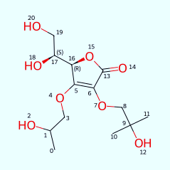 CC(O)COC1=C(OCC(C)(C)O)C(=O)O[C@@H]1[C@@H](O)CO